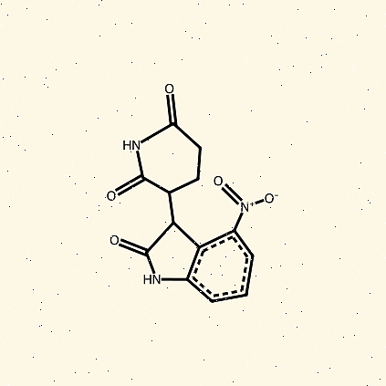 O=C1CCC(C2C(=O)Nc3cccc([N+](=O)[O-])c32)C(=O)N1